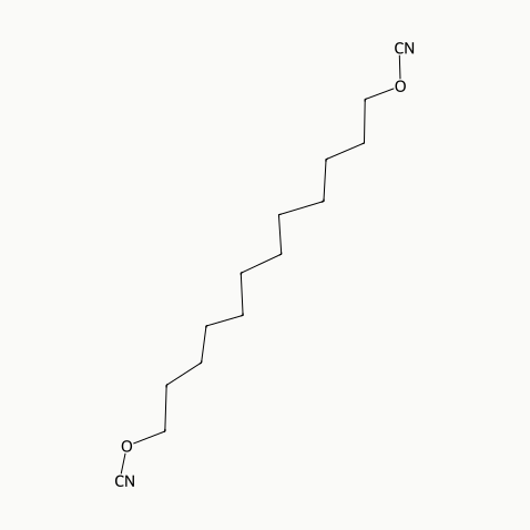 N#COCCCCCCCCCCCCOC#N